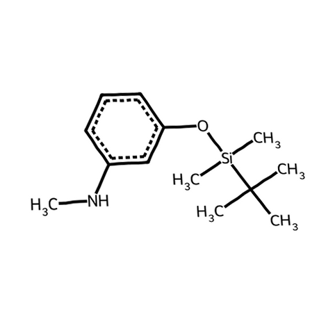 CNc1cccc(O[Si](C)(C)C(C)(C)C)c1